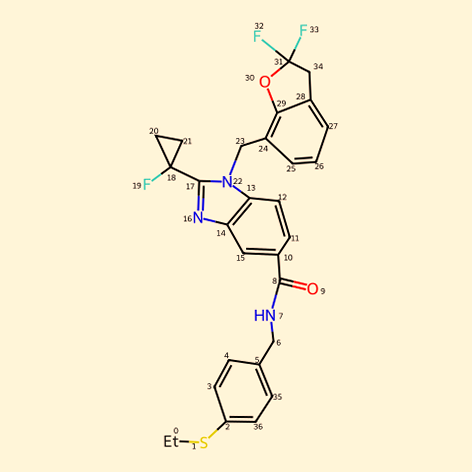 CCSc1ccc(CNC(=O)c2ccc3c(c2)nc(C2(F)CC2)n3Cc2cccc3c2OC(F)(F)C3)cc1